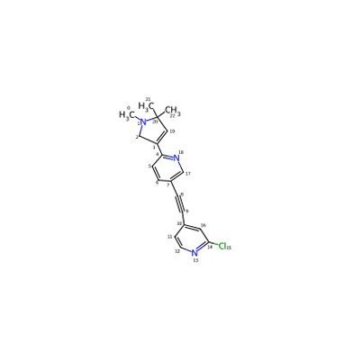 CN1CC(c2ccc(C#Cc3ccnc(Cl)c3)cn2)=CC1(C)C